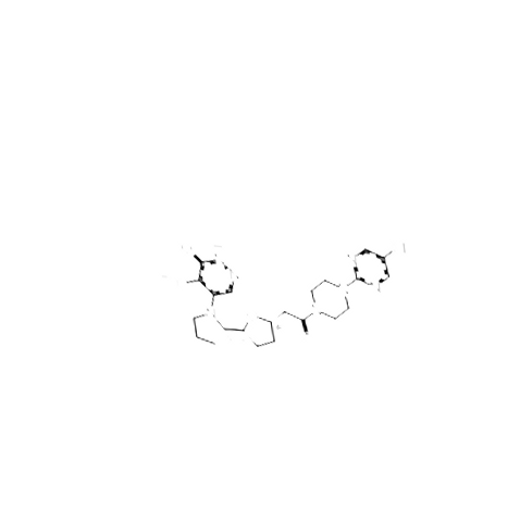 O=C(C[C@H]1CC[C@@H]([C@@H]2CCCN2c2cn[nH]c(=O)c2C(F)(F)F)O1)N1CCN(c2ncc(C(F)(F)F)cn2)CC1